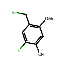 COc1cc(C#N)c(F)cc1CBr